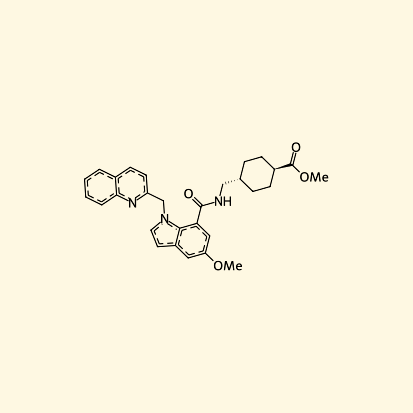 COc1cc(C(=O)NC[C@H]2CC[C@H](C(=O)OC)CC2)c2c(ccn2Cc2ccc3ccccc3n2)c1